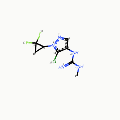 CNC(=N)Nc1cnn(C2CC2(F)F)c1Cl